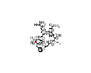 CC(C)C[C@H](N)C(=O)N[C@@H](C)C(=O)N[C@@H](CO)C(=O)N[C@@H](CCC(N)=O)C(=O)N[C@@H](CCCNC(=N)N)C(=O)N[C@H](C(=O)N[C@@H](Cc1ccccc1)C(=O)O)C(C)C